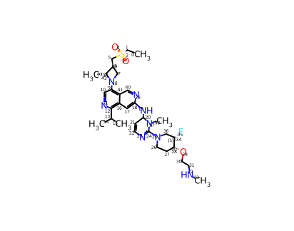 CCS(=O)(=O)C[C@H]1CN(c2cnc(C(C)C)c3cc(NC4C=CN=C(N5CC[C@@H](OCCNC)[C@@H](F)C5)N4C)ncc23)[C@@H]1C